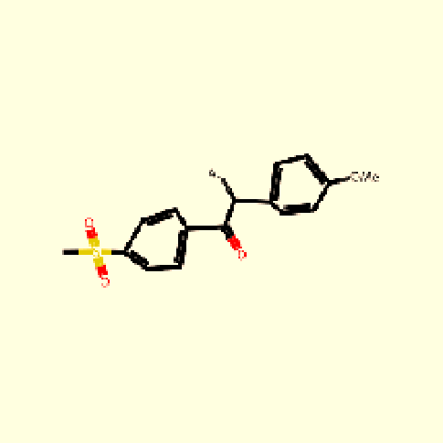 COc1ccc(C(C(C)=O)C(=O)c2ccc(S(C)(=O)=O)cc2)cc1